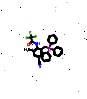 Bc1cc(C#N)cc(C[PH](c2ccccc2)(c2ccccc2)c2ccccc2)c1NC(=O)C(F)(F)F